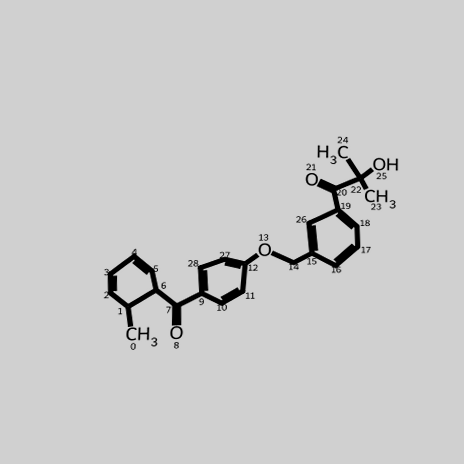 CC1C=CC=CC1C(=O)c1ccc(OCc2cccc(C(=O)C(C)(C)O)c2)cc1